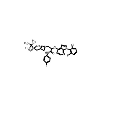 CC(C)(C)[Si](C)(C)OC1CN(CC(Oc2ncnc3c2cnn3-c2c(F)cccc2Cl)C(=O)Nc2ccc(F)cn2)C1